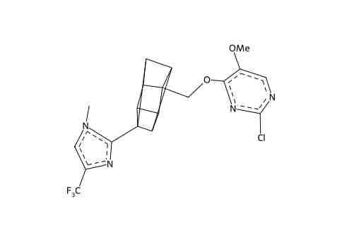 COc1cnc(Cl)nc1OCC12C3C4C1C1C2C3C41c1nc(C(F)(F)F)cn1C